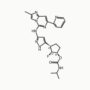 Cc1cn2c(Nc3cc([C@H]4CC[C@@H](OC(=O)NC(C)C)[C@H]4F)[nH]n3)nc(-c3ccccn3)cc2n1